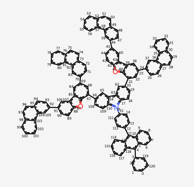 c1ccc(-c2c3ccccc3c(-c3ccc(-n4c5ccc(-c6cc(-c7ccc8ccc9ccccc9c8c7)cc7c6oc6ccc(-c8ccc9ccc%10ccccc%10c9c8)cc67)cc5c5cc(-c6cc(-c7ccc8ccc9ccccc9c8c7)cc7c6oc6ccc(-c8ccc9ccc%10ccccc%10c9c8)cc67)ccc54)cc3)c3ccccc23)cc1